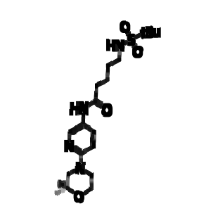 C[C@@H]1CN(c2ccc(NC(=O)CCCCNS(=O)(=O)C(C)(C)C)cn2)CCO1